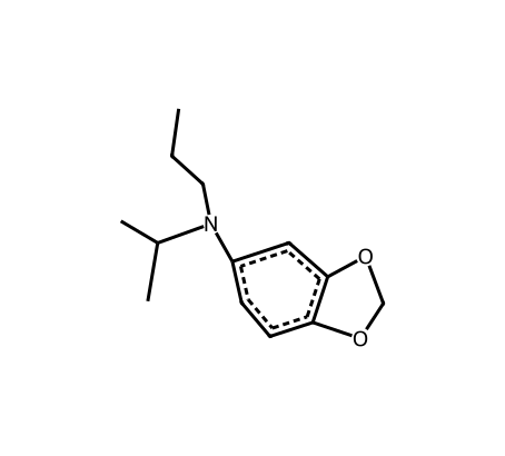 CCCN(c1ccc2c(c1)OCO2)C(C)C